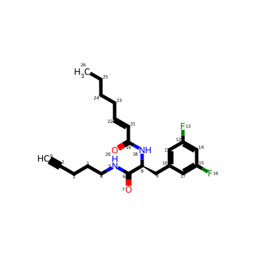 C#CCCCNC(=O)[C@H](Cc1cc(F)cc(F)c1)NC(=O)/C=C/CCCC